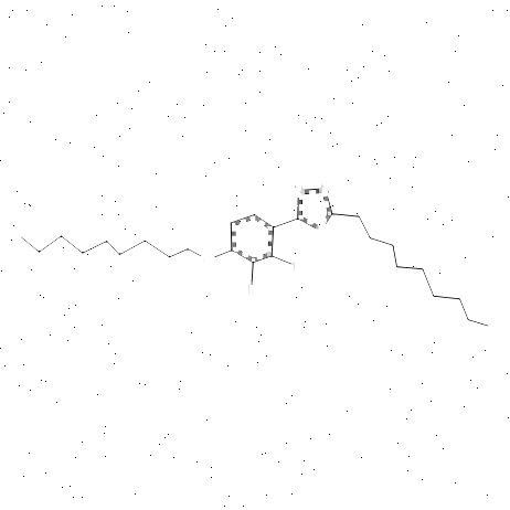 CCCCCCCCCOc1ccc(-c2nnc(CCCCCCCCC)s2)c(F)c1F